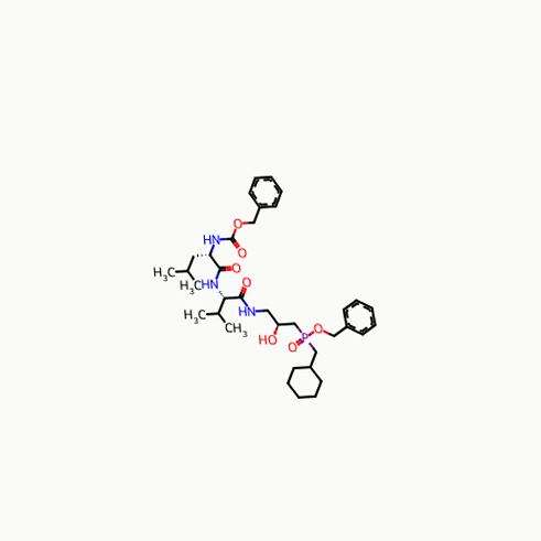 CC(C)C[C@H](NC(=O)OCc1ccccc1)C(=O)N[C@H](C(=O)NC[C@H](O)CP(=O)(CC1CCCCC1)OCc1ccccc1)C(C)C